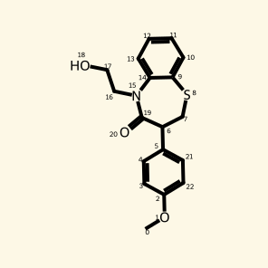 COc1ccc(C2CSc3ccccc3N(CCO)C2=O)cc1